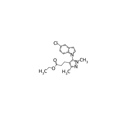 CCOC(=O)CCc1c(C)nn(C)c1-n1ccc2cc(Cl)ccc21